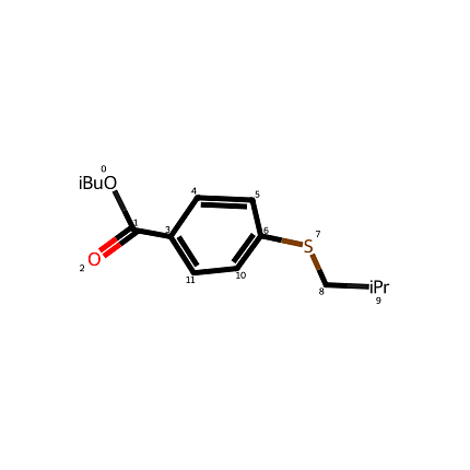 CC(C)COC(=O)c1ccc(SCC(C)C)cc1